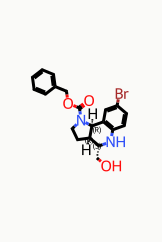 O=C(OCc1ccccc1)N1CC[C@@H]2[C@@H](CO)Nc3ccc(Br)cc3[C@@H]21